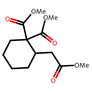 COC(=O)CC1CCCCC1(C(=O)OC)C(=O)OC